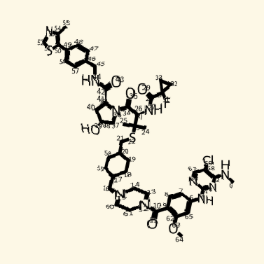 CNc1nc(Nc2ccc(C(=O)N3CCN(CC4CCC(CSC(C)(C)[C@H](NC(=O)C5(F)CC5)C(=O)N5C[C@H](O)C[C@H]5C(=O)NCc5ccc(-c6scnc6C)cc5)CC4)CC3)c(OC)c2)ncc1Cl